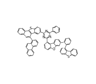 c1ccc(-c2nc(-c3ccc4sc5c6ccccc6cc(-c6cccc7c6ccc6ccccc67)c5c4c3)nc(-c3cccc4oc5cc(-c6ccccc6-c6cccc7sc8ccccc8c67)ccc5c34)n2)cc1